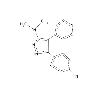 CN(C)c1n[nH]c(-c2ccc(Cl)cc2)c1-c1ccncc1